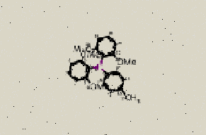 COc1cccc(OC)c1P(c1ccc(C)cc1)c1c(OC)cccc1OC